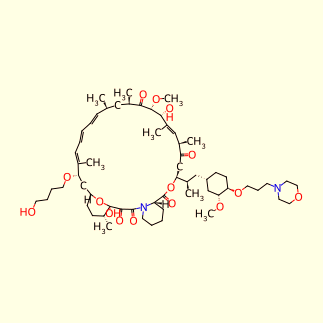 CO[C@@H]1C[C@H](C[C@@H](C)[C@@H]2CC(=O)[C@H](C)/C=C(\C)[C@@H](O)[C@@H](OC)C(=O)[C@H](C)C[C@H](C)/C=C/C=C/C=C(\C)[C@@H](OCCCCO)C[C@@H]3CC[C@@H](C)[C@@](O)(O3)C(=O)C(=O)N3CCCC[C@H]3C(=O)O2)CC[C@H]1OCCCN1CCOCC1